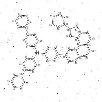 c1ccc(-c2ccc(N(c3ccc(-c4ccccc4)cc3)c3ccc(-c4ccc5ccc6ccc7c(c6c5c4)OC(c4ccccc4)N7)cc3)cc2)cc1